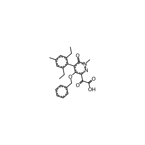 CCc1cc(C)cc(CC)c1-c1c(OCc2ccccc2)c(C(=O)C(=O)O)nn(C)c1=O